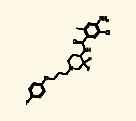 Cc1cc(N)c(Cl)cc1C(=O)NC1CCN(CCCOc2ccc(F)cc2)CC1(F)F